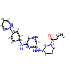 C=CC(=O)N1CCCC(Nc2cncc(Nc3ccc(-c4ncccn4)cc3)n2)C1